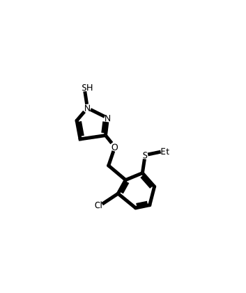 CCSc1cccc(Cl)c1COc1ccn(S)n1